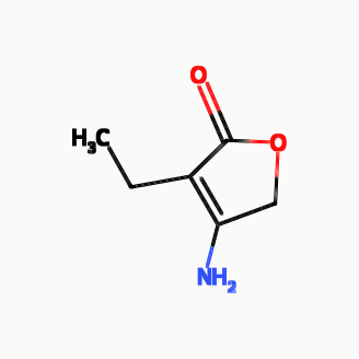 CCC1=C(N)COC1=O